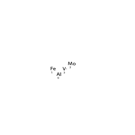 [Al].[Fe].[Mo].[V]